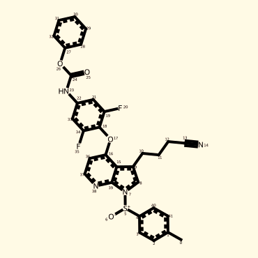 Cc1ccc([S+]([O-])n2cc(CCCC#N)c3c(Oc4c(F)cc(NC(=O)Oc5ccccc5)cc4F)ccnc32)cc1